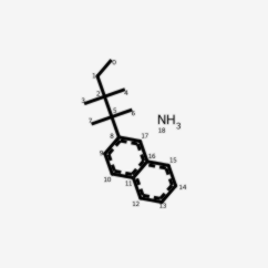 CCC(C)(C)C(C)(C)c1ccc2ccccc2c1.N